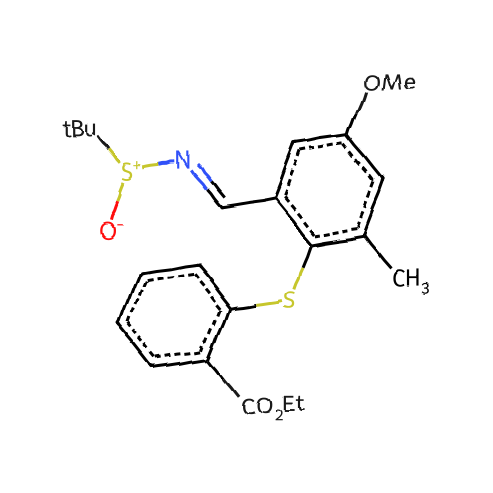 CCOC(=O)c1ccccc1Sc1c(C)cc(OC)cc1/C=N/[S+]([O-])C(C)(C)C